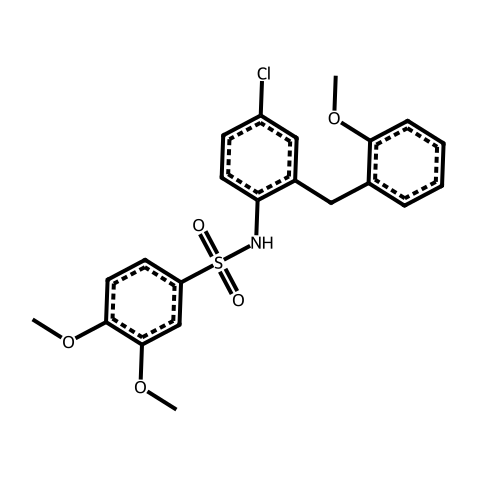 COc1ccccc1Cc1cc(Cl)ccc1NS(=O)(=O)c1ccc(OC)c(OC)c1